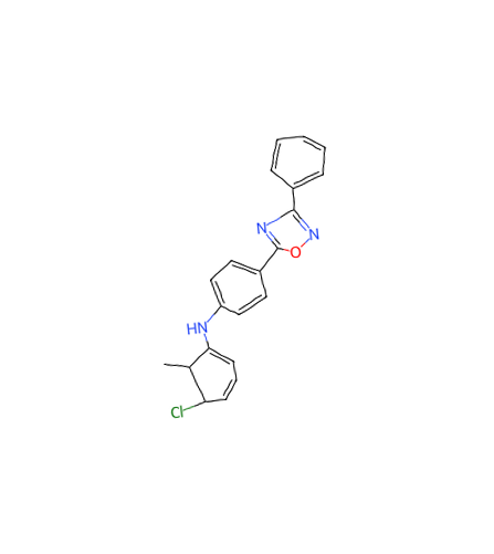 CC1C(Nc2ccc(-c3nc(-c4ccccc4)no3)cc2)=CC=CC1Cl